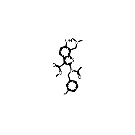 COC(=O)c1c(N(Cc2cccc(F)c2)C(C)=O)sc2c(CN(C)C)c(O)ccc12